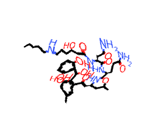 CCCCCNCCC[C@@H](O)CC(=O)N[C@@H](CC(N)=O)C(=O)N[C@@H](CCC(N)=O)C(=O)N[C@H](CC(=O)c1cc(C)cc(O)c1C(O)c1c(O)cccc1O)CC(C)C